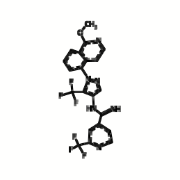 COc1nccc2c(-n3ncc(NC(=N)c4ccnc(C(F)(F)F)c4)c3C(F)(F)F)cccc12